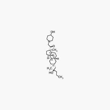 CCC[C@@](C)(O)C[C@@H]1CC[C@@H]2[C@H](CC[C@]3(C)[C@@H](C(=O)CN4CCC(O)CC4)CC[C@@H]23)C1